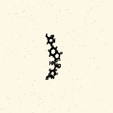 Cc1cc(-c2ccc3c(c2)CCC3NC(=O)c2cnn(C)c2)no1